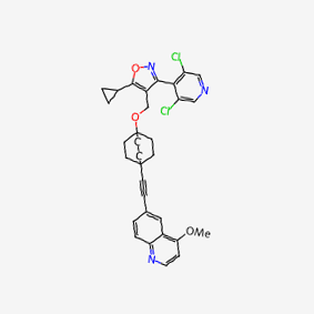 COc1ccnc2ccc(C#CC34CCC(OCc5c(-c6c(Cl)cncc6Cl)noc5C5CC5)(CC3)CC4)cc12